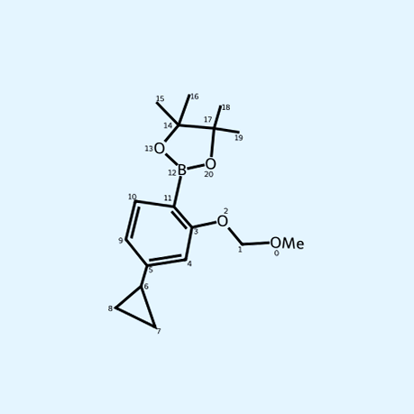 COCOc1cc(C2CC2)ccc1B1OC(C)(C)C(C)(C)O1